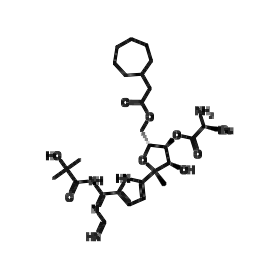 CC(C)(O)C(=O)N/C(=N/C=N)c1ccc([C@]2(C)O[C@H](COC(=O)CC3CCCCCC3)[C@@H](OC(=O)[C@@H](N)C(C)(C)C)[C@H]2O)[nH]1